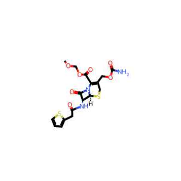 COCOC(=O)C1=C(COC(N)=O)CS[C@H]2[C@H](NC(=O)Cc3cccs3)C(=O)N12